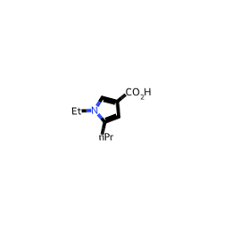 CCCc1cc(C(=O)O)cn1CC